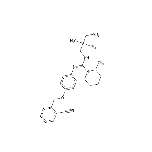 CC1CCCCN1/C(=N\c1ccc(OCc2ccccc2C#N)cc1)NCC(C)(C)CN